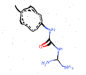 Cc1ccc(NC(=O)NC(N)N)cc1